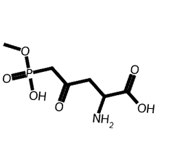 COP(=O)(O)CC(=O)CC(N)C(=O)O